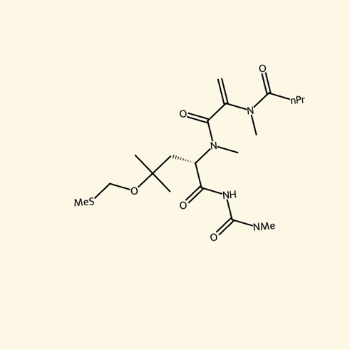 C=C(C(=O)N(C)[C@@H](CC(C)(C)OCSC)C(=O)NC(=O)NC)N(C)C(=O)CCC